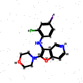 Fc1cc(I)ccc1Nc1c(N2CCOCC2)oc2ccncc12